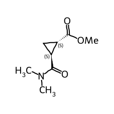 COC(=O)[C@H]1C[C@@H]1C(=O)N(C)C